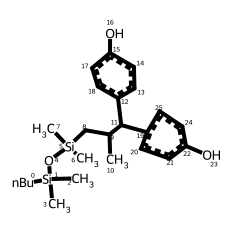 CCCC[Si](C)(C)O[Si](C)(C)CC(C)C(c1ccc(O)cc1)c1ccc(O)cc1